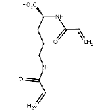 C=CC(=O)NCCC[C@H](NC(=O)C=C)C(=O)O